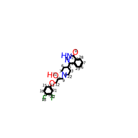 O=c1[nH]nc(C2CCN(CC(O)COc3ccc(F)c(F)c3)CC2)c2ccccc12